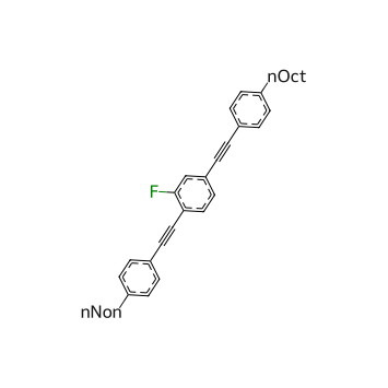 CCCCCCCCCc1ccc(C#Cc2ccc(C#Cc3ccc(CCCCCCCC)cc3)cc2F)cc1